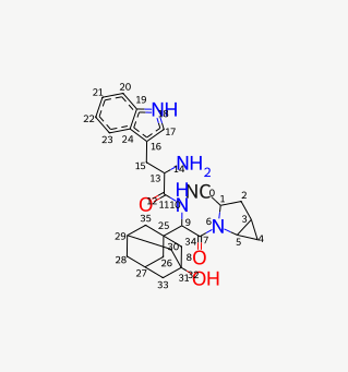 N#CC1CC2CC2N1C(=O)C(NC(=O)C(N)Cc1c[nH]c2ccccc12)C12CC3CC(CC(O)(C3)C1)C2